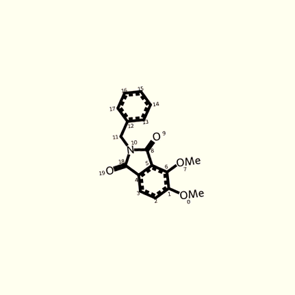 COc1ccc2c(c1OC)C(=O)N(Cc1ccccc1)C2=O